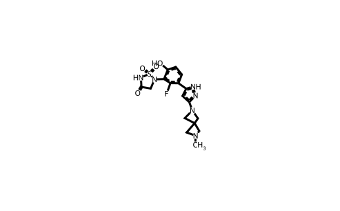 CN1CC2(C1)CN(c1cc(-c3ccc(O)c(N4CC(=O)NS4(=O)=O)c3F)[nH]n1)C2